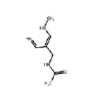 CN/C=C(\C=N)CNC(C)=O